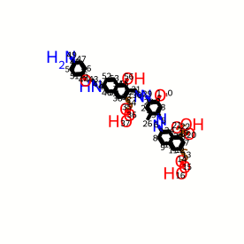 COc1cc(N=Nc2ccc3cc(SOOO)cc(S(=O)(=O)O)c3c2)c(C)cc1N=NCc1c(SOOO)cc2cc(NCOc3ccc(N)cc3)ccc2c1O